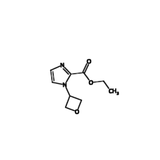 CCOC(=O)c1nccn1C1COC1